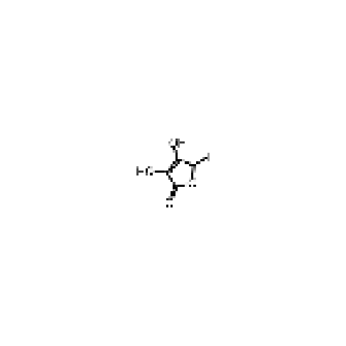 O=C1OC(I)C(O)=C1O